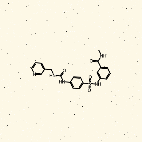 CNC(=O)c1cccc(NS(=O)(=O)c2ccc(NC(=O)NCc3cccnc3)cc2)c1